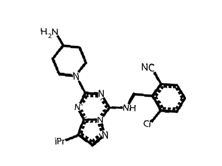 CC(C)c1cnn2c(NCc3c(Cl)cccc3C#N)nc(N3CCC(N)CC3)nc12